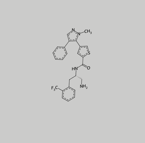 Cn1ncc(-c2ccccc2)c1-c1csc(C(=O)N[C@H](CN)Cc2ccccc2C(F)(F)F)c1